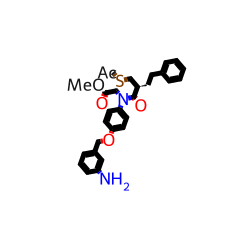 COC(=O)CN(C(=O)[C@@H](CCc1ccccc1)CSC(C)=O)c1ccc(OCc2cccc(N)c2)cc1